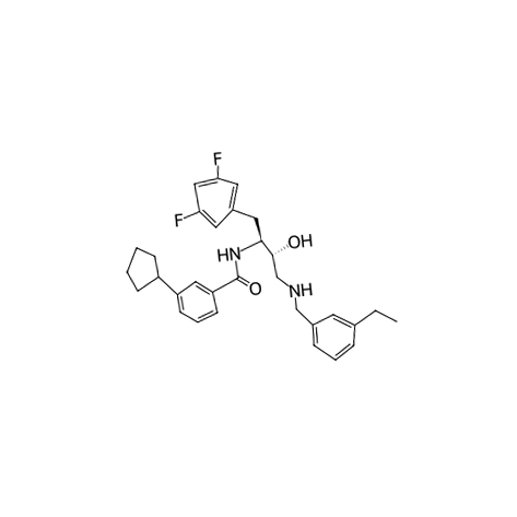 CCc1cccc(CNC[C@@H](O)[C@H](Cc2cc(F)cc(F)c2)NC(=O)c2cccc(C3CCCC3)c2)c1